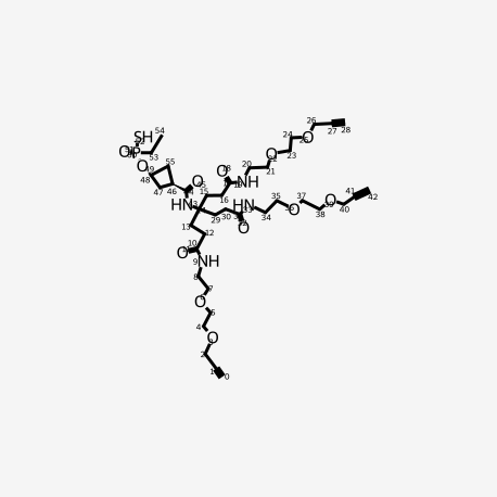 C#CCOCCOCCNC(=O)CCC(CCC(=O)NCCOCCOCC#C)(CCC(=O)NCCOCCOCC#C)NC(=O)[C@H]1C[C@H](OP(=O)(S)CC)C1